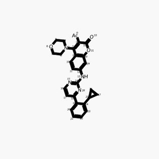 CC(=O)c1c(N2CCOCC2)c2ccc(Nc3nccc(-c4ccccc4C4CC4)n3)cc2oc1=O